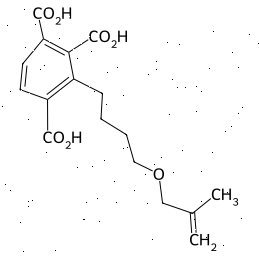 C=C(C)COCCCCc1c(C(=O)O)ccc(C(=O)O)c1C(=O)O